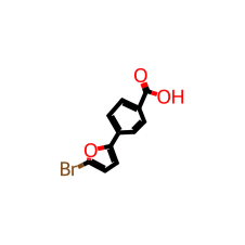 O=C(O)c1ccc(-c2ccc(Br)o2)cc1